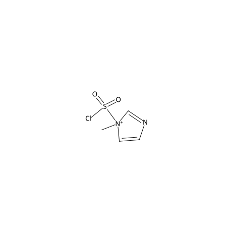 C[N+]1(S(=O)(=O)Cl)C=CN=C1